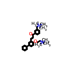 C[N+](C)(C)CCOc1ccc(-c2ccccc2)cc1/C=C/C(=O)c1cccc(C[N+](C)(C)C)c1